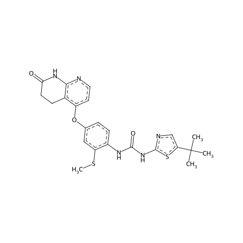 CSc1cc(Oc2ccnc3c2CCC(=O)N3)ccc1NC(=O)Nc1ncc(C(C)(C)C)s1